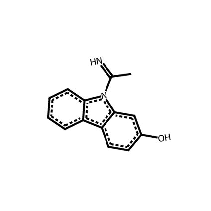 CC(=N)n1c2ccccc2c2ccc(O)cc21